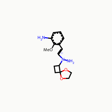 COc1c(N)cccc1/C=C/N(N)C1CCC12OCCO2